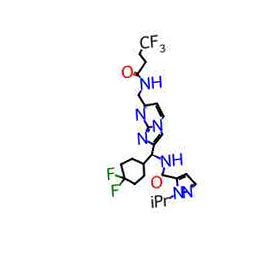 CC(C)n1nccc1C(=O)N[C@H](c1cn2ccc(CNC(=O)CCC(F)(F)F)nc2n1)C1CCC(F)(F)CC1